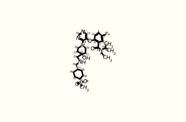 CCN(C(=O)c1cc(F)ccc1Oc1cncnc1N1CCC(O)(CNC[C@H]2CC[C@H](S(C)(=O)=O)CC2)CC1)C(C)C